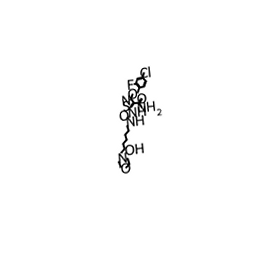 NC(=O)c1c(OCc2ccc(Cl)cc2F)nsc1NC(=O)NCCCCCC(O)CN1CCOCC1